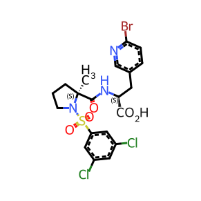 C[C@@]1(C(=O)N[C@@H](Cc2ccc(Br)nc2)C(=O)O)CCCN1S(=O)(=O)c1cc(Cl)cc(Cl)c1